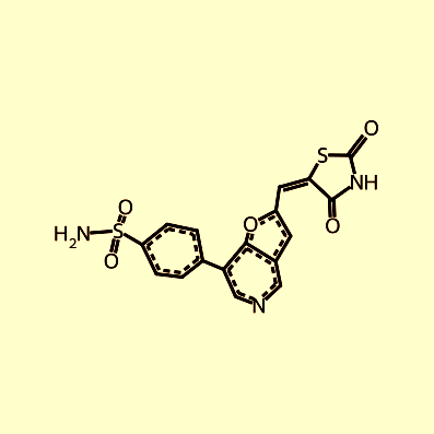 NS(=O)(=O)c1ccc(-c2cncc3cc(C=C4SC(=O)NC4=O)oc23)cc1